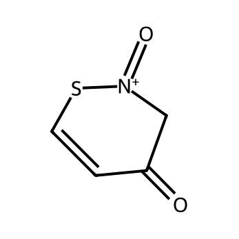 O=C1C=CS[N+](=O)C1